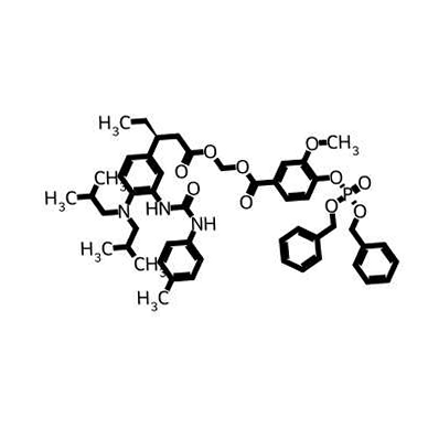 CC[C@@H](CC(=O)OCOC(=O)c1ccc(OP(=O)(OCc2ccccc2)OCc2ccccc2)c(OC)c1)c1ccc(N(CC(C)C)CC(C)C)c(NC(=O)Nc2ccc(C)cc2)c1